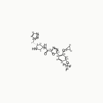 O=C(N[C@H]1CN[C@H](Cn2ccnn2)C1)c1nnc(-c2ccc(OC(F)(F)F)cc2OC2CC2)o1